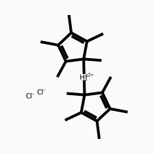 CC1=C(C)[C](C)([Hf+2][C]2(C)C(C)=C(C)C(C)=C2C)C(C)=C1C.[Cl-].[Cl-]